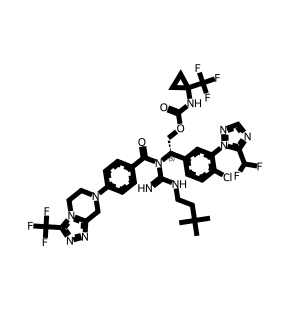 CC(C)(C)CCNC(=N)N(C(=O)c1ccc(N2CCn3c(nnc3C(F)(F)F)C2)cc1)[C@H](COC(=O)NC1(C(F)(F)F)CC1)c1ccc(Cl)c(-n2ncnc2C(F)F)c1